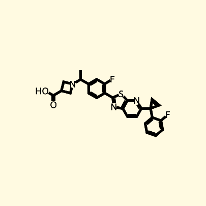 CC(c1ccc(-c2nc3ccc(C4(c5ccccc5F)C=C4)nc3s2)c(F)c1)N1CC(C(=O)O)C1